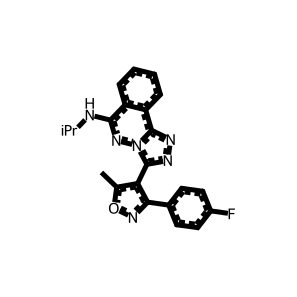 Cc1onc(-c2ccc(F)cc2)c1-c1nnc2c3ccccc3c(NC(C)C)nn12